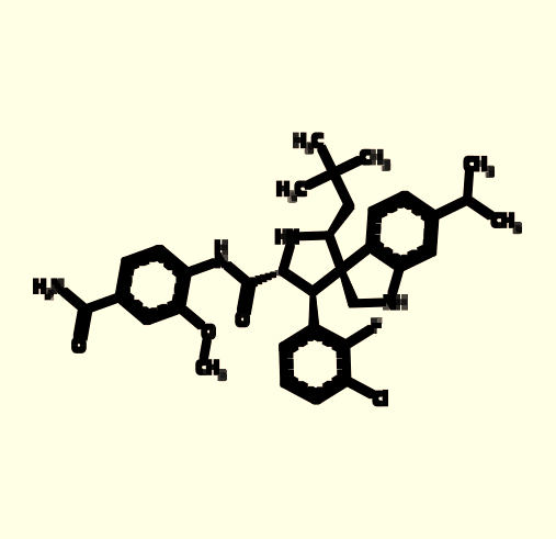 COc1cc(C(N)=O)ccc1NC(=O)[C@@H]1N[C@@H](CC(C)(C)C)[C@@]2(CNc3cc(C(C)C)ccc32)[C@H]1c1cccc(Cl)c1F